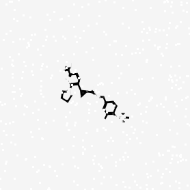 Cc1cc([C@@H](C)NC(=O)C2CC2c2ccc(C(F)(F)F)nc2N2CCCC2)ccc1NS(C)(=O)=O